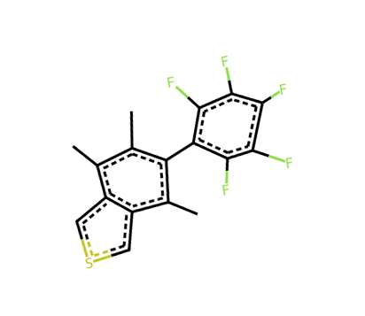 Cc1c(-c2c(F)c(F)c(F)c(F)c2F)c(C)c2cscc2c1C